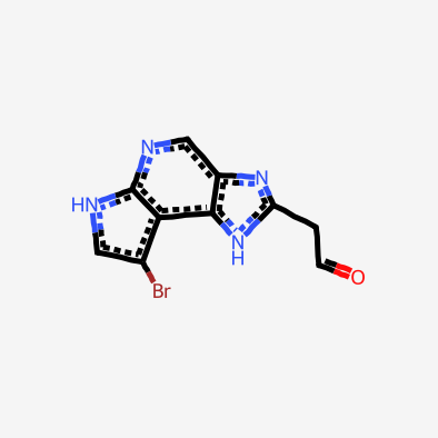 O=CCc1nc2cnc3[nH]cc(Br)c3c2[nH]1